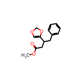 COC(=O)CC(Cc1ccccc1)C1=COCO1